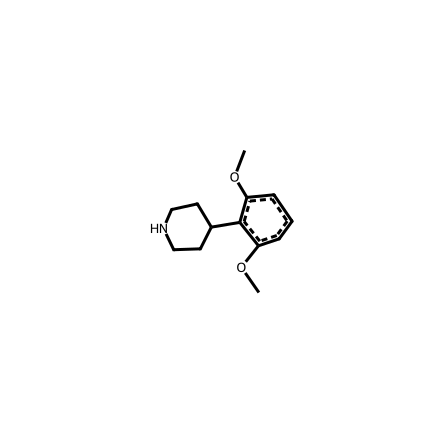 COc1cccc(OC)c1C1CCNCC1